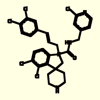 O=C(NCc1ccnc(Cl)c1)[N+]1(C/C=C/c2ccc(Cl)c(Cl)c2)CC2(CCNCC2)c2c1ccc(Cl)c2Cl